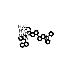 C=C/C=C\c1c(C)n(-c2nc(-c3cccc4ccccc34)c3cccnc3n2)c2ccc3c(-c4cccc5c4ccc4c5c5ccccc5n4-c4ccccc4)cccc3c12